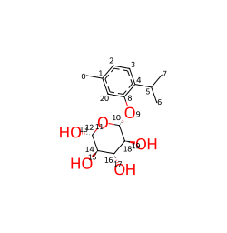 Cc1ccc(C(C)C)c(O[C@H]2O[C@@H](O)[C@H](O)[C@@H](O)[C@@H]2O)c1